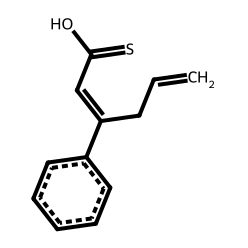 C=CCC(=CC(O)=S)c1ccccc1